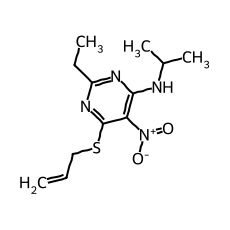 C=CCSc1nc(CC)nc(NC(C)C)c1[N+](=O)[O-]